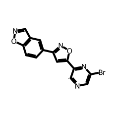 Brc1cn[c]c(-c2cc(-c3ccc4oncc4c3)no2)n1